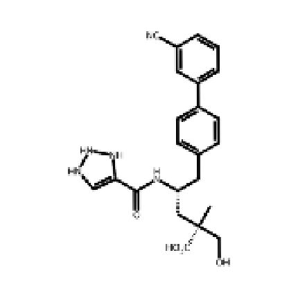 C[C@@](CO)(C[C@@H](Cc1ccc(-c2cccc(C#N)c2)cc1)NC(=O)C1=CNNN1)C(=O)O